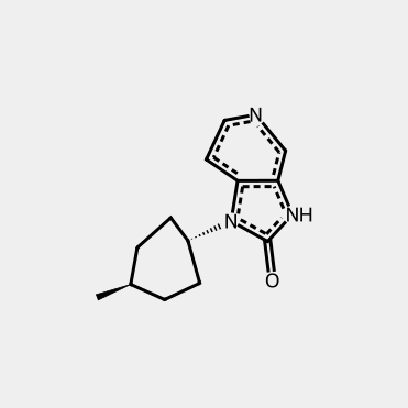 C[C@H]1CC[C@H](n2c(=O)[nH]c3cnccc32)CC1